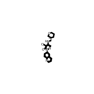 O=c1c(Cl)c(NC[C@@H]2CCCOC2)cnn1-c1ccc2ncccc2c1